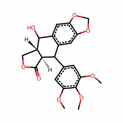 COc1cc(C2c3cc4c(cc3C(O)[C@H]3COC(=O)[C@H]23)OCO4)cc(OC)c1OC